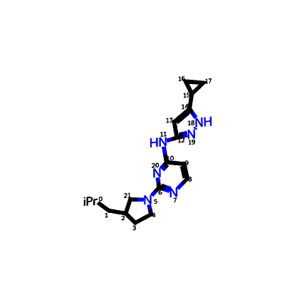 CC(C)CC1CCN(c2nccc(Nc3cc(C4CC4)[nH]n3)n2)C1